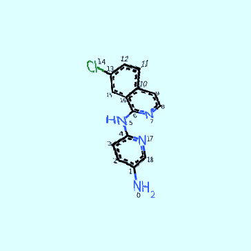 Nc1ccc(Nc2nccc3ccc(Cl)cc23)nc1